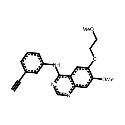 C#Cc1cccc(Nc2ncnc3cc(OC)c(OCCOC)cc23)c1